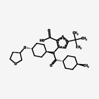 CC(C)(C)c1cc(N(C(=O)[C@H]2CC[C@H](C)CC2)[C@H]2CC[C@H](OC3CCOC3)CC2)c(C(=O)O)s1